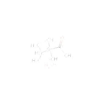 CC(=O)[Si](C)(C)[SiH](C)C.O